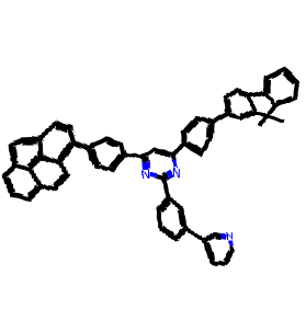 CC1(C)c2ccccc2-c2ccc(-c3ccc(-c4cc(-c5ccc(-c6ccc7ccc8cccc9ccc6c7c89)cc5)nc(-c5cccc(-c6cccnc6)c5)n4)cc3)cc21